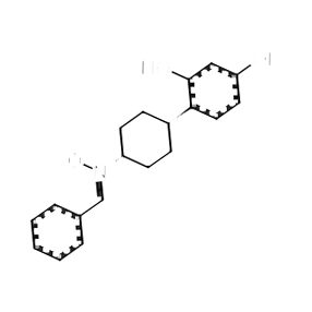 [O-]/[N+](=C\c1ccccc1)[C@H]1CC[C@H](c2ccc(O)cc2O)CC1